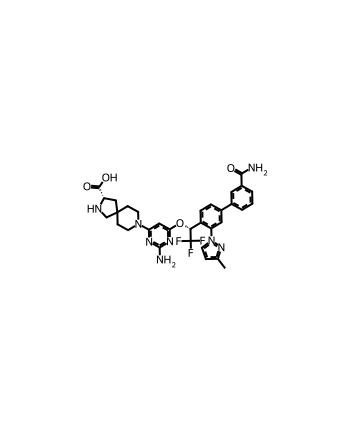 Cc1ccn(-c2cc(-c3cccc(C(N)=O)c3)ccc2[C@@H](Oc2cc(N3CCC4(CC3)CN[C@H](C(=O)O)C4)nc(N)n2)C(F)(F)F)n1